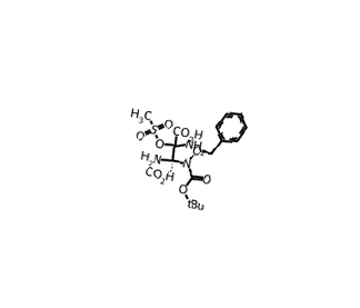 CC(C)(C)OC(=O)N(OCc1ccccc1)[C@](N)(C(=O)O)C(N)(OS(C)(=O)=O)C(=O)O